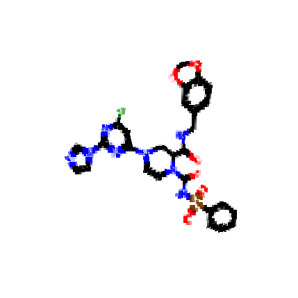 O=C(NCc1ccc2c(c1)OCO2)C1CN(c2cc(Cl)nc(-n3ccnc3)n2)CCN1C(=O)NS(=O)(=O)c1ccccc1